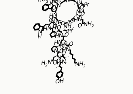 CCCC[C@H]1C(=O)N(C)[C@@H](CCCC)C(=O)N[C@@H](CC(C)C)C(=O)N[C@H](C(=O)NCC(N)=O)CSCC(N)CC[C@H](NC(=O)[C@H](Cc2c[nH]c3ccccc23)NC(=O)C2CCCN2C(=O)[C@H](CC(C)C)NC(=O)[C@H](CNC(=O)NCCCCCCN)NC(=O)[C@@H]2CCCN2C(=O)[C@H](CC(N)=O)NC(=O)[C@H](C)N(C)C(=O)[C@@H](C)Cc2ccc(O)cc2)C(=O)N[C@@H](Cc2cn(CC(=O)O)c3ccccc23)C(=O)N1C